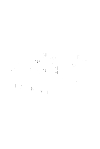 Cc1cc(-c2nc(C(=O)NCc3ccccc3OC(F)(F)F)c(N)nc2-c2ccc(F)cc2)cc(C)n1